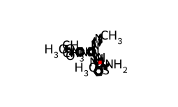 CCN1CCN(c2cc(N3CCN(C(=O)OC(C)(C)C)CC3)cc(-c3noc(C4(C)CCCc5sc(N)c(C#N)c54)n3)n2)CC1